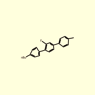 CCCCc1ccc(-c2ccc(-c3ccc(C)cc3)cc2F)cc1